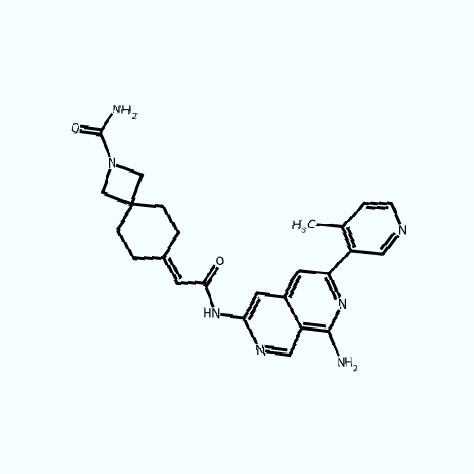 Cc1ccncc1-c1cc2cc(NC(=O)C=C3CCC4(CC3)CN(C(N)=O)C4)ncc2c(N)n1